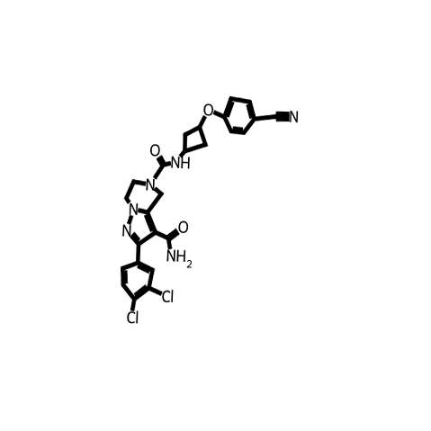 N#Cc1ccc(OC2CC(NC(=O)N3CCn4nc(-c5ccc(Cl)c(Cl)c5)c(C(N)=O)c4C3)C2)cc1